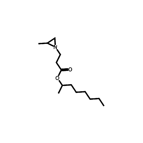 CCCCCCC(C)OC(=O)CCN1CC1C